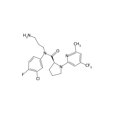 Cc1cc(C(F)(F)F)cc(N2CCC[C@H]2C(=O)N(CCCN)c2ccc(F)c(Cl)c2)n1